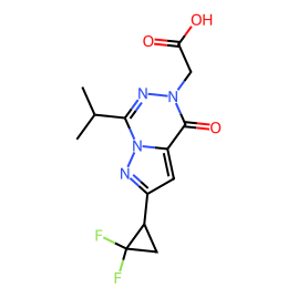 CC(C)c1nn(CC(=O)O)c(=O)c2cc(C3CC3(F)F)nn12